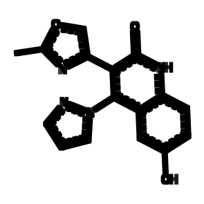 Cc1nc(-c2c(-n3cccn3)c3cc(O)ccc3[nH]c2=O)co1